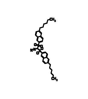 CCCCCCc1ccc2cc(S(=O)(=O)C(=[N+]=[N-])S(=O)(=O)c3ccc4cc(CCCCCC)ccc4c3)ccc2c1